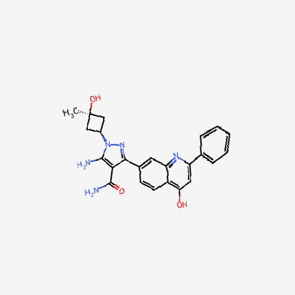 C[C@]1(O)C[C@@H](n2nc(-c3ccc4c(O)cc(-c5ccccc5)nc4c3)c(C(N)=O)c2N)C1